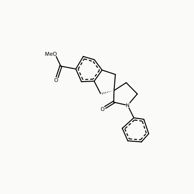 COC(=O)c1ccc2c(c1)C[C@@]1(CCN(c3ccccc3)C1=O)C2